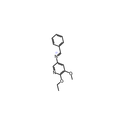 CCOc1ncc(/N=C/c2ccccc2)cc1OC